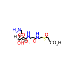 CC(C)(CO)C(OC(=O)CN)C(=O)NCCC(=O)NCCSC(=O)CCC(=O)O